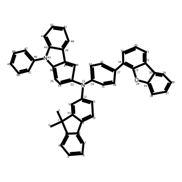 CC1(C)c2ccccc2-c2ccc(N(c3ccc(-c4cccc5c4oc4ccccc45)cc3)c3ccc4c(c3)c3ccccc3n4-c3ccccc3)cc21